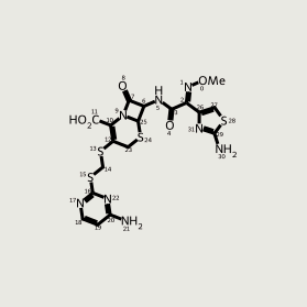 CON=C(C(=O)NC1C(=O)N2C(C(=O)O)=C(SCSc3nccc(N)n3)CSC12)c1csc(N)n1